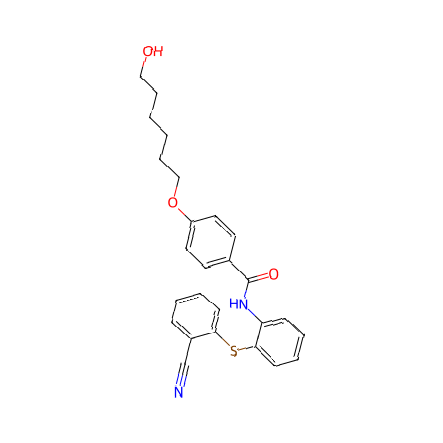 N#Cc1ccccc1Sc1ccccc1NC(=O)c1ccc(OCCCCCCO)cc1